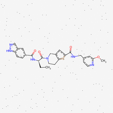 CC[C@@H](NC(=O)c1ccc2[nH]ncc2c1)C(=O)N1CCc2sc(C(=O)NCc3ccnc(OC)c3)cc2C1